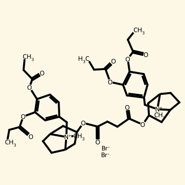 CCC(=O)Oc1ccc(C[N+]2(C)C3CCC2CC(OC(=O)CCC(=O)OC2CC4CCC(C2)[N+]4(C)Cc2ccc(OC(=O)CC)c(OC(=O)CC)c2)C3)cc1OC(=O)CC.[Br-].[Br-]